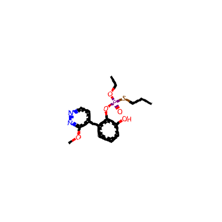 CCCSP(=O)(OCC)Oc1c(O)cccc1-c1ccnnc1OC